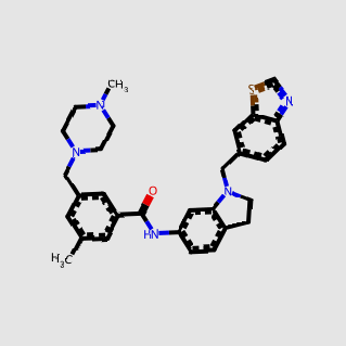 Cc1cc(CN2CCN(C)CC2)cc(C(=O)Nc2ccc3c(c2)N(Cc2ccc4ncsc4c2)CC3)c1